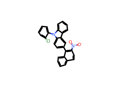 O=[N+]([O-])c1ccc2ccccc2c1-c1ccc2c(c1)c1ccccc1n2-c1ccccc1Cl